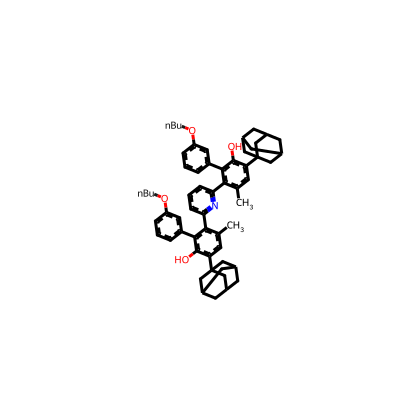 CCCCOc1cccc(-c2c(O)c(C34CC5CC(CC(C5)C3)C4)cc(C)c2-c2cccc(-c3c(C)cc(C45CC6CC(CC(C6)C4)C5)c(O)c3-c3cccc(OCCCC)c3)n2)c1